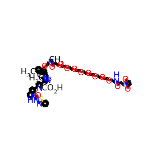 Cc1c(-c2ccc(-c3ccc4c(c3)N(C(=O)Nc3nc5ccccc5s3)CCC4)nc2C(=O)O)cnn1CC12CC(OCCN(C)C(=O)CCOCCOCCOCCOCCOCCOCCOCCOCCNC(=O)CCN3C(=O)C=CC3=O)C3CCC(C)(C1)CC3(C)C2